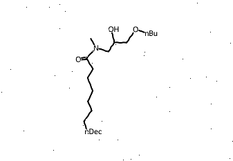 CCCCCCCCCCCCCCCCC(=O)N(C)CC(O)COCCCC